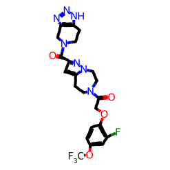 O=C(COc1ccc(OC(F)(F)F)cc1F)N1CCc2cc(C(=O)N3CCc4[nH]nnc4C3)nn2CC1